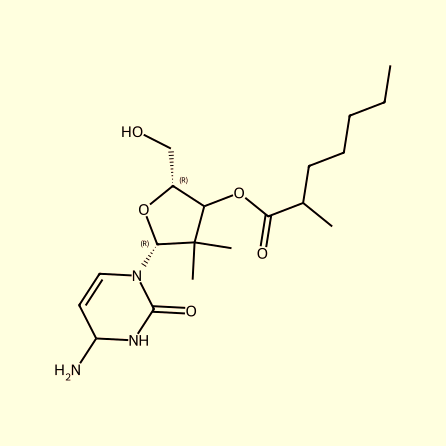 CCCCCC(C)C(=O)OC1[C@@H](CO)O[C@@H](N2C=CC(N)NC2=O)C1(C)C